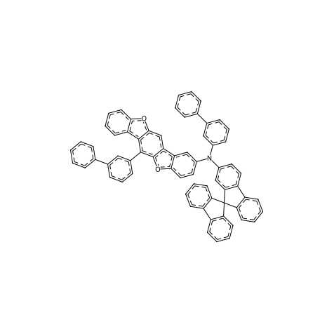 c1ccc(-c2cccc(-c3c4oc5ccc(N(c6cccc(-c7ccccc7)c6)c6ccc7c(c6)C6(c8ccccc8-c8ccccc86)c6ccccc6-7)cc5c4cc4oc5ccccc5c34)c2)cc1